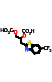 O=C(O)OCC(Cc1nc2ccc(C(F)(F)F)cc2s1)OC(=O)O